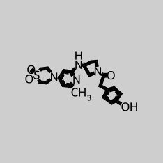 Cc1cc(N2CCS(=O)(=O)CC2)cc(N[C@H]2CCN(C(=O)Cc3ccc(O)cc3)C2)n1